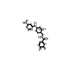 CN(C)c1cc(NC2CCC(CNC(=O)c3ccc(F)c(F)c3)CC2)ncn1.Cl